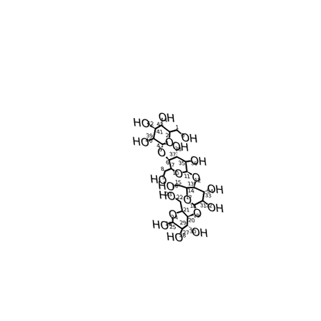 OCC1O[C@H](O[C@@H]2C(CO)O[C@H](O[C@@H]3C(CO)O[C@H](O[C@@H]4C(CO)OC(O)C(O)[C@H]4O)C(O)[C@H]3O)C(O)[C@H]2O)C(O)[C@@H](O)[C@@H]1O